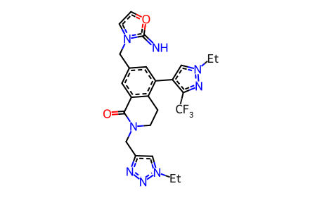 CCn1cc(CN2CCc3c(cc(Cn4ccoc4=N)cc3-c3cn(CC)nc3C(F)(F)F)C2=O)nn1